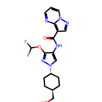 O=C(Nc1cn([C@H]2CC[C@H](CO)CC2)nc1OC(F)F)c1cnn2cccnc12